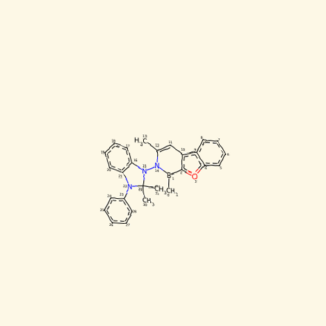 CB1c2oc3ccccc3c2C=C(C)N1N1c2ccccc2N(c2ccccc2)C1(C)C